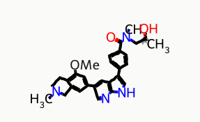 COc1cc(-c2cnc3[nH]cc(-c4ccc(C(=O)N(C)C[C@@H](C)O)cc4)c3c2)cc2c1CCN(C)C2